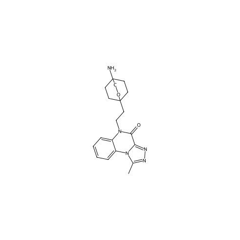 Cc1nnc2c(=O)n(CCC34CCC(N)(CC3)CO4)c3ccccc3n12